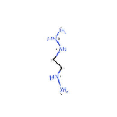 NNCCNNN